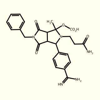 CC1(OC(=O)O)C2C(=O)N(Cc3ccccc3)C(=O)C2C(c2ccc(C(=N)N)cc2)N1CCC(N)=O